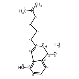 CN(C)CCCCc1cc2c(O)cccc2c(=O)[nH]1.Cl